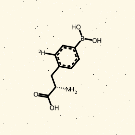 [2H]c1cc(B(O)O)ccc1C[C@H](N)C(=O)O